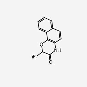 CC(C)C1Oc2c(ccc3ccccc23)NC1=O